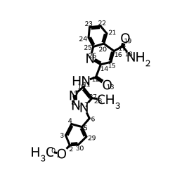 COc1ccc(Cn2nnc(NC(=O)c3cc(C(N)=O)c4ccccc4n3)c2C)cc1